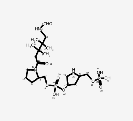 CC(C)(CNC=O)C(C)(C)CC(=O)N1CCCC1COP(=O)(O)O[C@H]1CNC(COP(=O)(O)O)C1